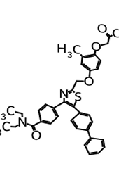 CCN(CC)C(=O)c1ccc(-c2nc(COc3ccc(OCC(=O)O)c(C)c3)sc2-c2ccc(-c3ccccc3)cc2)cc1